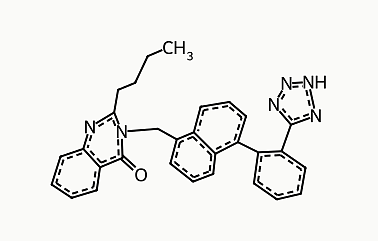 CCCCc1nc2ccccc2c(=O)n1Cc1cccc2c(-c3ccccc3-c3nn[nH]n3)cccc12